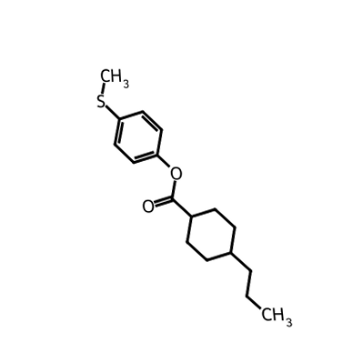 CCCC1CCC(C(=O)Oc2ccc(SC)cc2)CC1